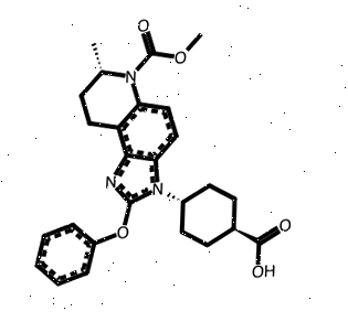 COC(=O)N1c2ccc3c(nc(Oc4ccccc4)n3[C@H]3CC[C@H](C(=O)O)CC3)c2CC[C@@H]1C